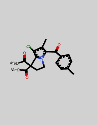 COC(=O)C1(C(=O)OC)CCn2c(C(=O)c3ccc(C)cc3)c(C)c(Cl)c21